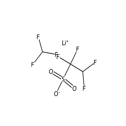 FC(F)F.O=S(=O)([O-])C(F)(F)C(F)F.[Li+]